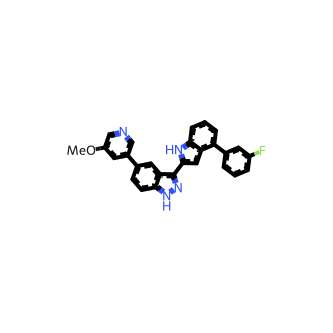 COc1cncc(-c2ccc3[nH]nc(-c4cc5c(-c6cccc(F)c6)cccc5[nH]4)c3c2)c1